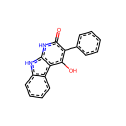 O=c1[nH]c2[nH]c3ccccc3c2c(O)c1-c1ccccc1